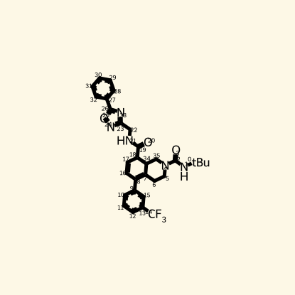 CC(C)(C)NC(=O)N1CCC2=C(c3cccc(C(F)(F)F)c3)C=CC(C(=O)NCc3noc(-c4ccccc4)n3)C2C1